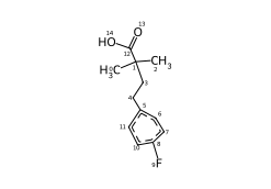 CC(C)(CCc1ccc(F)cc1)C(=O)O